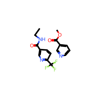 CCNC(=O)c1ccc(C(F)(F)F)nc1.COC(=O)c1cccnc1